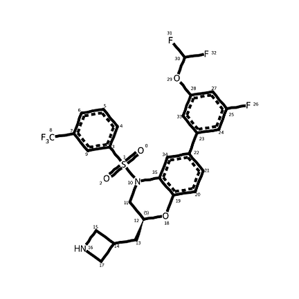 O=S(=O)(c1cccc(C(F)(F)F)c1)N1C[C@H](CC2CNC2)Oc2ccc(-c3cc(F)cc(OC(F)F)c3)cc21